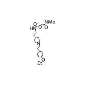 CCOc1ccc(CCN2CCC(CCNC(=O)OCC(=O)NC)CC2)cc1